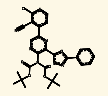 CC(C)(C)OC(=O)N(C(=O)OC(C)(C)C)c1ncc(-c2ccnc(Cl)c2C#N)nc1-c1nnc(-c2ccccc2)o1